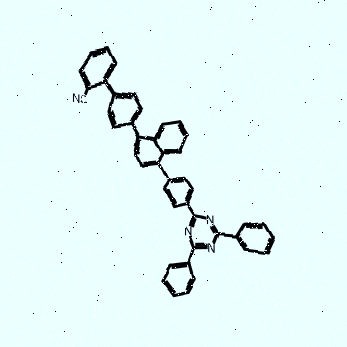 N#Cc1ccccc1-c1ccc(-c2ccc(-c3ccc(-c4nc(-c5ccccc5)nc(-c5ccccc5)n4)cc3)c3ccccc23)cc1